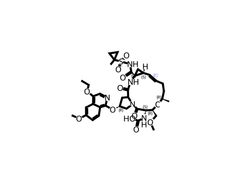 CCOc1cnc(O[C@@H]2CC3C(=O)N[C@]4(C(=O)NS(=O)(=O)C5(C)CC5)C[C@H]4/C=C/CC[C@@H](C)C[C@@H](COC)[C@H](NC(=O)O)C(=O)N3C2)c2ccc(OC)cc12